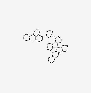 c1cc(-c2cccc3c2-c2ccccc2C32c3ccccc3-c3cc4ccccc4cc32)cc(-c2ccc3c4c(cccc24)-c2ccccc2O3)c1